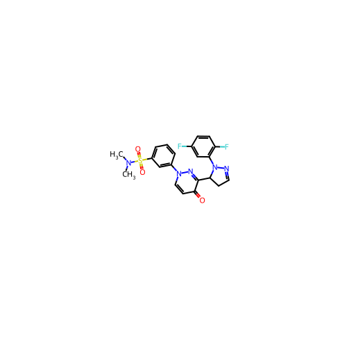 CN(C)S(=O)(=O)c1cccc(-n2ccc(=O)c(C3CC=NN3c3cc(F)ccc3F)n2)c1